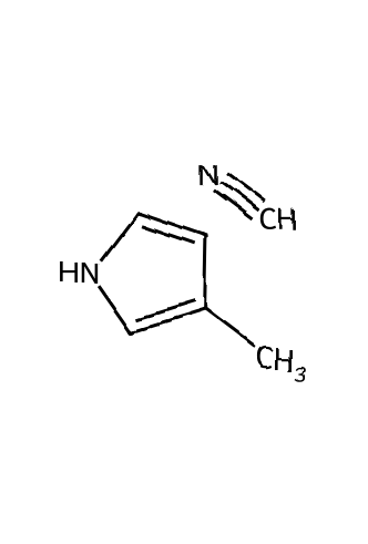 C#N.Cc1cc[nH]c1